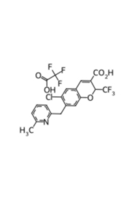 Cc1cccc(Cc2cc3c(cc2Cl)C=C(C(=O)O)C(C(F)(F)F)O3)n1.O=C(O)C(F)(F)F